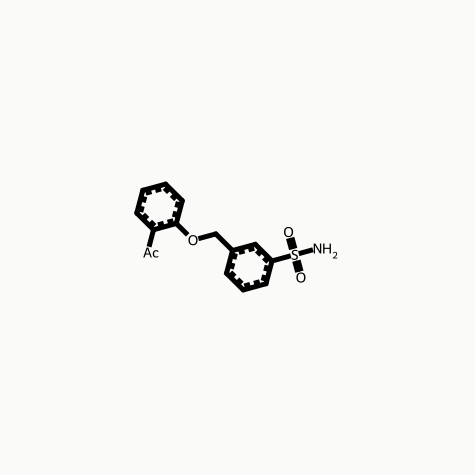 CC(=O)c1ccccc1OCc1cccc(S(N)(=O)=O)c1